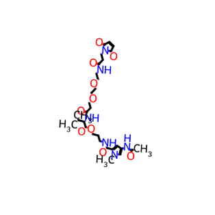 CC(=O)Nc1cc(C(=O)NCCCOC(=O)[C@@H](NC(=O)CCOCCOCCNC(=O)CCN2C(=O)C=CC2=O)C(C)C)n(C)c1